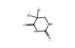 CCC1(CC)CNC(=O)NC1=O